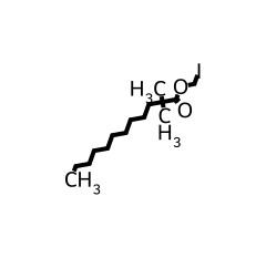 CCCCCCCCCCC(C)(C)C(=O)OCI